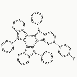 Fc1ccc(-c2ccc3c(c2)c2c4c(c5ccccc5n4-c4ccccc4)c4c(c5ccccc5n4-c4ccccc4)c2n3-c2ccccc2)cc1